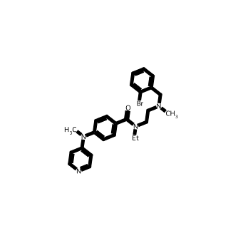 CCN(CCN(C)Cc1ccccc1Br)C(=O)c1ccc(N(C)c2ccncc2)cc1